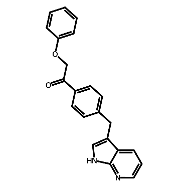 O=C(COc1ccccc1)c1ccc(Cc2c[nH]c3ncccc23)cc1